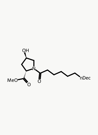 CCCCCCCCCCCCCCCC(=O)N1C[C@H](O)C[C@H]1C(=O)OC